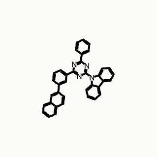 c1ccc(-c2nc(-c3cccc(-c4ccc5ccccc5c4)c3)nc(-n3c4ccccc4c4ccccc43)n2)cc1